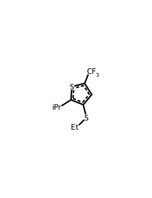 CCSc1cc(C(F)(F)F)sc1C(C)C